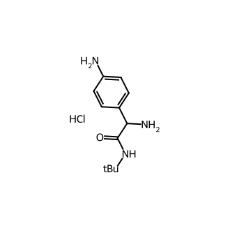 CC(C)(C)NC(=O)C(N)c1ccc(N)cc1.Cl